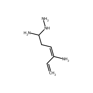 C=C/C(N)=C\CC(N)NN